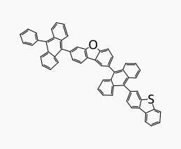 c1ccc(-c2c3ccccc3c(-c3ccc4c(c3)oc3ccc(-c5c6ccccc6c(-c6ccc7c(c6)sc6ccccc67)c6ccccc56)cc34)c3ccccc23)cc1